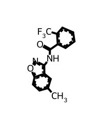 Cc1ccc2onc(NC(=O)c3ccccc3C(F)(F)F)c2c1